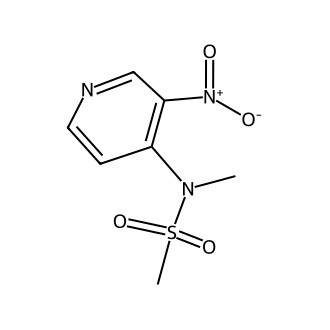 CN(c1ccncc1[N+](=O)[O-])S(C)(=O)=O